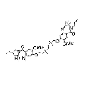 C=C1C[C@H]2C=Nc3cc(OCC(C)(C)CCC(C)(C)CCOc4cc5c(cc4OC)C(=O)N4C/C(=C/C)C[C@H]4C(C)N5C)c(OC)cc3C(=O)N2C1